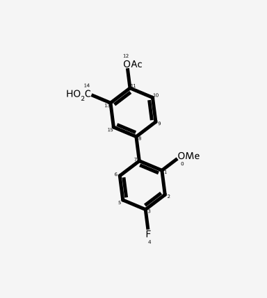 COc1cc(F)ccc1-c1ccc(OC(C)=O)c(C(=O)O)c1